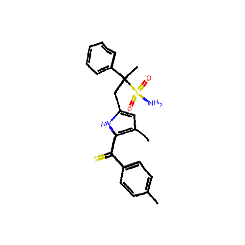 Cc1ccc(C(=S)c2[nH]c(CC(C)(c3ccccc3)S(N)(=O)=O)cc2C)cc1